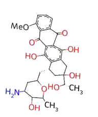 COc1cccc2c1C(=O)c1c(O)c3c(c(O)c1C2=O)CC(O)([C@H](C)O)C[C@@H]3CC1CC(N)C(O)C(C)O1